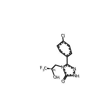 O=c1[nH]nc(-c2ccc(Cl)cc2)n1C[C@@H](O)C(F)(F)F